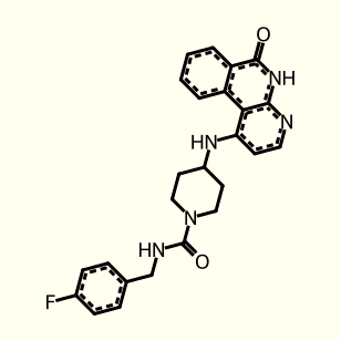 O=C(NCc1ccc(F)cc1)N1CCC(Nc2ccnc3[nH]c(=O)c4ccccc4c23)CC1